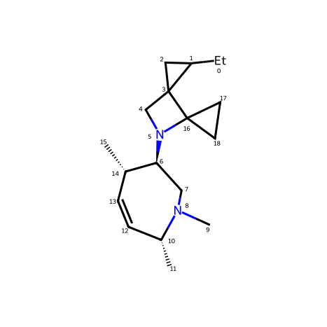 CCC1CC12CN([C@H]1CN(C)[C@H](C)C=C[C@@H]1C)C21CC1